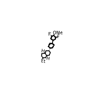 CCC1CC[C@@H]2C[C@H](c3ccc(-c4cc(F)c(OC)c(F)c4)cc3)CC[C@@H]2C1